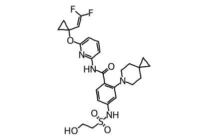 O=C(Nc1cccc(OC2(C=C(F)F)CC2)n1)c1ccc(NS(=O)(=O)CCO)cc1N1CCC2(CC1)CC2